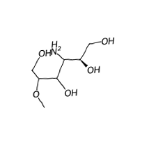 COC(CO)C(O)C(N)[C@H](O)CO